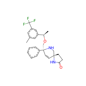 Cc1cc([C@@H](C)OC[C@@]2(c3ccccc3)C=C[C@]3(CCC(=O)N3)CN2)cc(C(F)(F)F)c1